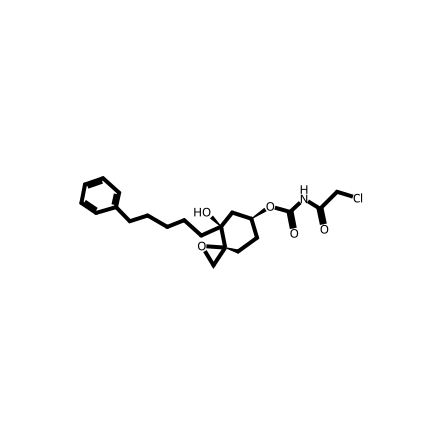 O=C(CCl)NC(=O)O[C@H]1CC[C@]2(CO2)[C@](O)(CCCCCc2ccccc2)C1